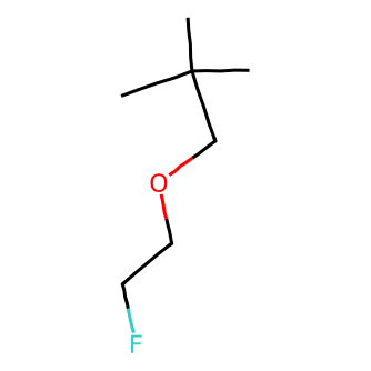 CC(C)(C)COCCF